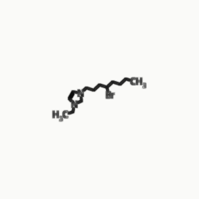 CCCCC(Br)CCCN1C=CN(CC)C1